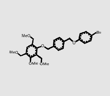 CCC(C)c1ccc(OCc2ccc(COc3c(COC)cc(COC)c(OC)c3COC)cc2)cc1